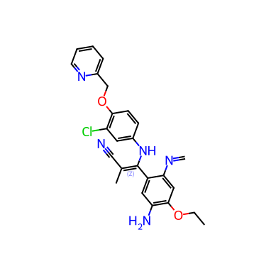 C=Nc1cc(OCC)c(N)cc1/C(Nc1ccc(OCc2ccccn2)c(Cl)c1)=C(\C)C#N